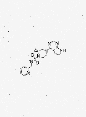 CN(Cc1ccccn1)S(=O)(=O)N1CCN(c2ncnc3[nH]ccc23)CC12CC2